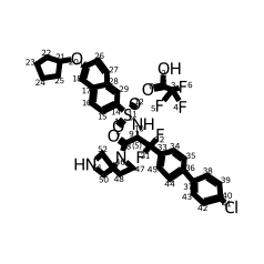 O=C(O)C(F)(F)F.O=C([C@H](NS(=O)(=O)c1ccc2cc(OC3CCCC3)ccc2c1)C(F)(F)c1ccc(-c2ccc(Cl)cc2)cc1)N1CCC12CNC2